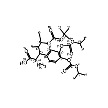 CC(C)OC(=O)Oc1ccc(C(C(C)C(C)OC(=O)OC(C)(C)C)[C@H](N)C(=O)O)cc1OC(=O)OC(C)C